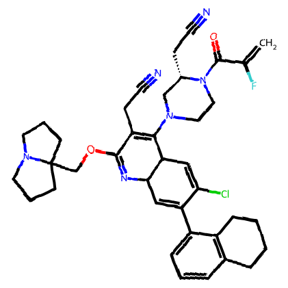 C=C(F)C(=O)N1CCN(C2=C(CC#N)C(OCC34CCCN3CCC4)=NC3C=C(c4cccc5c4CCCC5)C(Cl)=CC23)C[C@@H]1CC#N